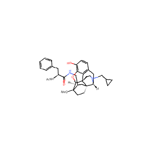 COC12CC[C@@]3(C[C@@H]1CNC(=O)[C@H](Cc1ccccc1)NC(C)=O)[C@H]1Cc4ccc(O)c5c4[C@@]3(CCN1CC1CC1)C2O5